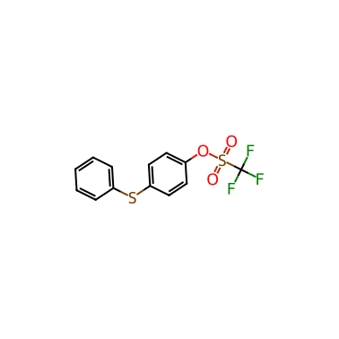 O=S(=O)(Oc1ccc(Sc2ccccc2)cc1)C(F)(F)F